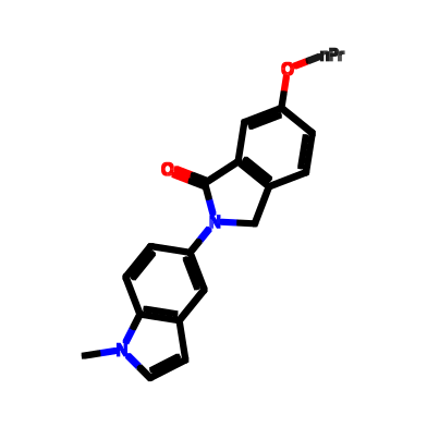 CCCOc1ccc2c(c1)C(=O)N(c1ccc3c(ccn3C)c1)C2